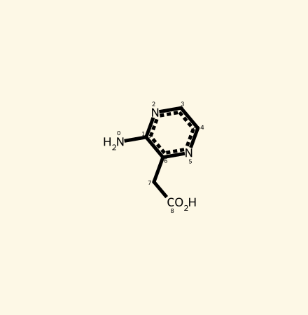 Nc1nccnc1CC(=O)O